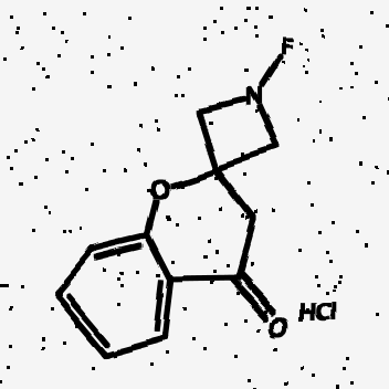 Cl.O=C1CC2(CN(F)C2)Oc2ccccc21